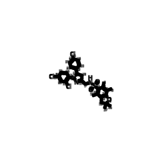 Cc1c(C)c(S(=O)(=O)NCC2=NN(c3ccc(Cl)cc3Cl)C(c3ccc(Cl)cc3)C2)c(C)c2c1OC(C)(C)C2